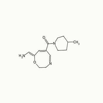 CC1CCN(C(=O)C2=C/C(=C/N)OCC/N=C\2)CC1